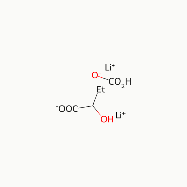 CCC(O)C(=O)[O-].O=C([O-])O.[Li+].[Li+]